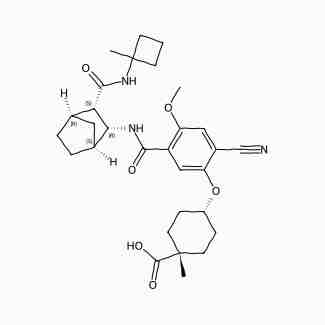 COc1cc(C#N)c(O[C@H]2CC[C@@](C)(C(=O)O)CC2)cc1C(=O)N[C@@H]1[C@H]2CC[C@H](C2)[C@@H]1C(=O)NC1(C)CCC1